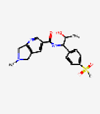 CCS(=O)(=O)c1ccc(C(NC(=O)c2cnc3c(c2)CN(C)C3)C(C)O)cc1